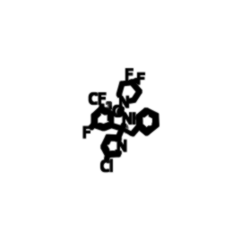 O=C(N[C@@](Cc1ccccc1)(c1cc(F)cc(C(F)(F)F)c1)c1ccc(Cl)cn1)N1CCC(F)(F)CC1